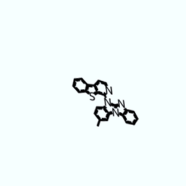 Cc1ccc2c(c1)n1c3ccccc3nc1n2-c1nccc2c1sc1ccccc12